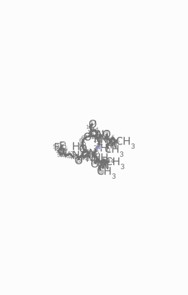 CCn1nc(C)cc1C(=O)Nc1nc2cc(C=O)cc3c2n1C/C=C/Cn1c(NC(=O)c2cc(C)nn2CC)nc2cc(C(=O)NCCCN4CCC(F)(F)C4)cc(c21)OCCCO3